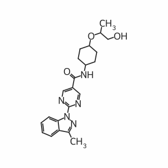 Cc1nn(-c2ncc(C(=O)NC3CCC(OC(C)CO)CC3)cn2)c2ccccc12